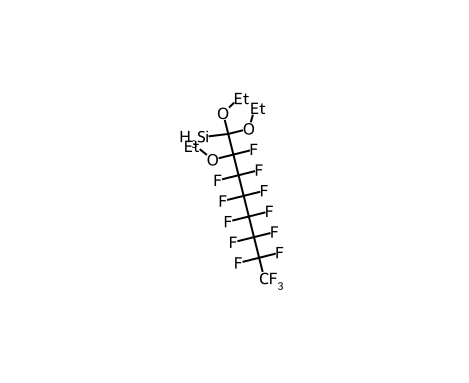 CCOC([SiH3])(OCC)C(F)(OCC)C(F)(F)C(F)(F)C(F)(F)C(F)(F)C(F)(F)C(F)(F)F